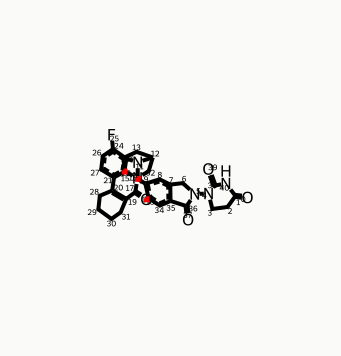 O=C1CCN(N2Cc3cc(CN4C5CC4CN(C(=O)C4=C(c6ccc(F)cc6)CCCC4)C5)ccc3C2=O)C(=O)N1